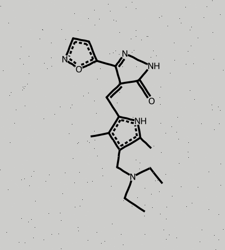 CCN(CC)Cc1c(C)[nH]c(C=C2C(=O)NN=C2c2ccno2)c1C